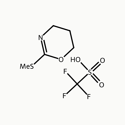 CSC1=NCCCO1.O=S(=O)(O)C(F)(F)F